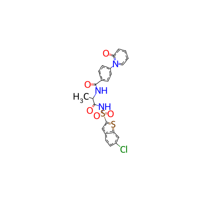 CC(NC(=O)c1ccc(-n2ccccc2=O)cc1)C(=O)NS(=O)(=O)c1cc2ccc(Cl)cc2s1